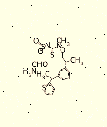 CC(CON(C)C(=S)N=S(=O)=O)c1cccc(C(C)c2cccs2)c1.NC=O